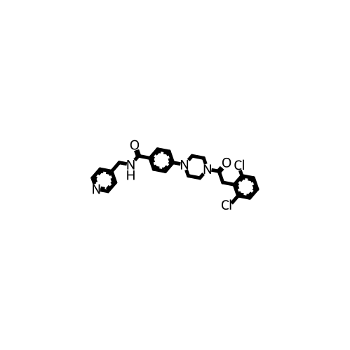 O=C(NCc1ccncc1)c1ccc(N2CCN(C(=O)Cc3c(Cl)cccc3Cl)CC2)cc1